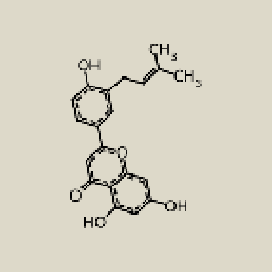 CC(C)=CCc1cc(-c2cc(=O)c3c(O)cc(O)cc3o2)ccc1O